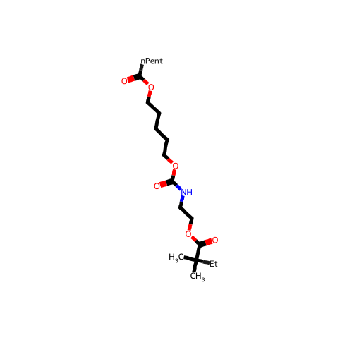 CCCCCC(=O)OCCCCCOC(=O)NCCOC(=O)C(C)(C)CC